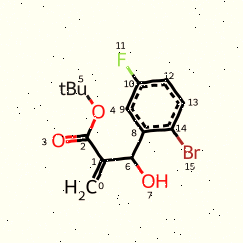 C=C(C(=O)OC(C)(C)C)C(O)c1cc(F)ccc1Br